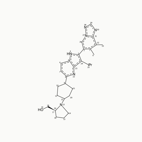 Cc1c(-c2[nH]c3ccc(C4CCC(N5CCC[C@H]5CO)CC4)nc3c2C(C)C)cn2ncnc2c1C